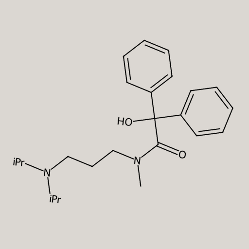 CC(C)N(CCCN(C)C(=O)C(O)(c1ccccc1)c1ccccc1)C(C)C